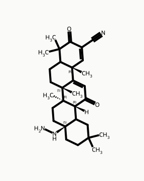 CC1(C)CC[C@]2(NN)CC[C@]3(C)[C@H](C(=O)C=C4[C@@]5(C)C=C(C#N)C(=O)C(C)(C)C5CC[C@]43C)C2C1